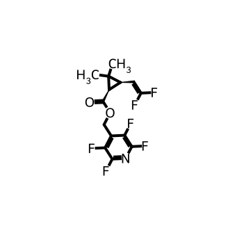 CC1(C)[C@H](C(=O)OCc2c(F)c(F)nc(F)c2F)[C@@H]1C=C(F)F